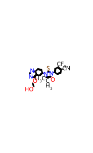 CC1(C)C(=O)N(c2ccc(C#N)c(C(F)(F)F)c2)C(=S)N1c1ccc2ncnc(OCCO)c2c1